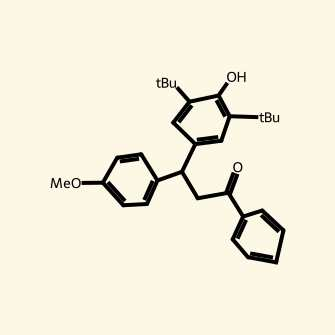 COc1ccc(C(CC(=O)c2ccccc2)c2cc(C(C)(C)C)c(O)c(C(C)(C)C)c2)cc1